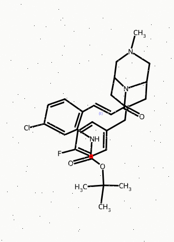 CN1CC2CN(Cc3ccc(F)cc3)CC(C1)N2C(=O)/C=C/c1ccc(Cl)cc1NC(=O)OC(C)(C)C